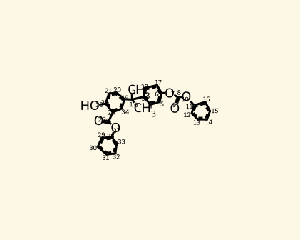 CC(C)(c1ccc(OC(=O)Oc2ccccc2)cc1)c1ccc(O)c(C(=O)Oc2ccccc2)c1